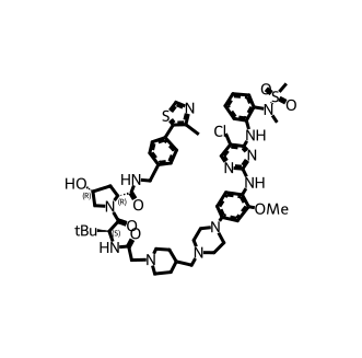 COc1cc(N2CCN(CC3CCN(CC(=O)N[C@H](C(=O)N4C[C@H](O)C[C@@H]4C(=O)NCc4ccc(-c5scnc5C)cc4)C(C)(C)C)CC3)CC2)ccc1Nc1ncc(Cl)c(Nc2ccccc2N(C)S(C)(=O)=O)n1